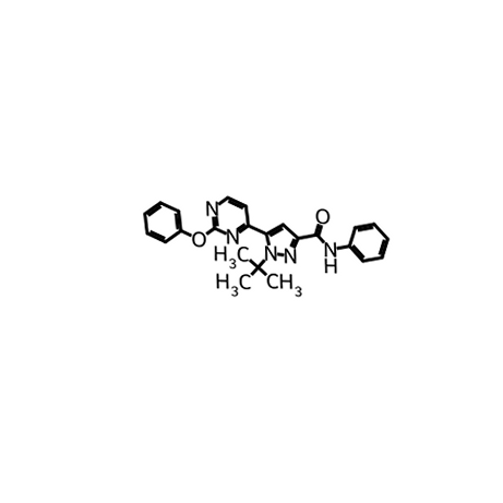 CC(C)(C)n1nc(C(=O)Nc2ccccc2)cc1-c1ccnc(Oc2ccccc2)n1